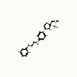 N[C@@]1(CO)CC[C@@H](c2ccc(OCCOc3ccccc3)cc2)C1